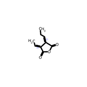 C/C=C1/C(=O)OC(=O)/C1=C/CC